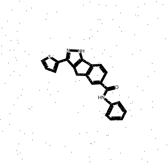 O=C(Nc1ccccc1)c1ccc2c(c1)Cc1c(-c3cccs3)n[nH]c1-2